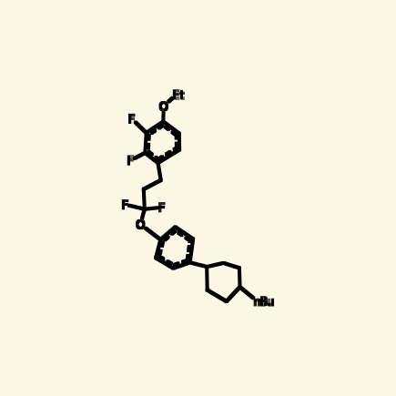 CCCCC1CCC(c2ccc(OC(F)(F)CCc3ccc(OCC)c(F)c3F)cc2)CC1